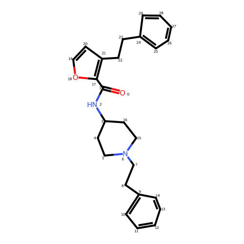 O=C(NC1CCN(CCc2ccccc2)CC1)c1occc1CCc1ccccc1